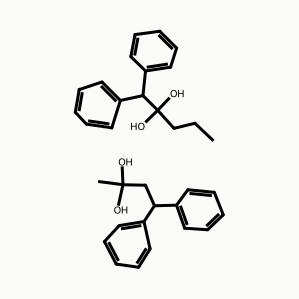 CC(O)(O)CC(c1ccccc1)c1ccccc1.CCCC(O)(O)C(c1ccccc1)c1ccccc1